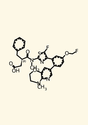 CN1CCOc2cc(-c3ccc(OCF)cc3-c3nc(N(C)C(=O)[C@@H](CC(=O)O)Cc4ccccc4)sc3F)cnc21